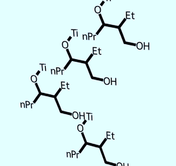 CCCC([O][Ti])C(CC)CO.CCCC([O][Ti])C(CC)CO.CCCC([O][Ti])C(CC)CO.CCCC([O][Ti])C(CC)CO